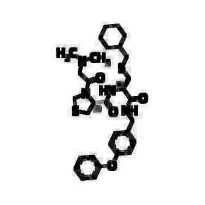 CN(C)CC(=O)N1CSC[C@H]1C(=O)N[C@@H](CSCC1CCCCC1)C(=O)NCc1ccc(Oc2ccccc2)cc1